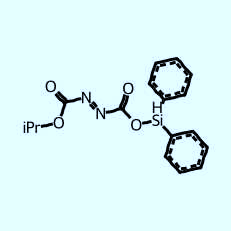 CC(C)OC(=O)N=NC(=O)O[SiH](c1ccccc1)c1ccccc1